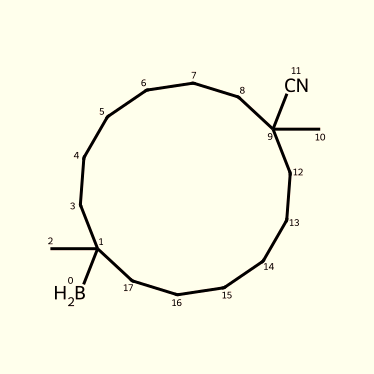 BC1(C)CCCCCCC(C)(C#N)CCCCCC1